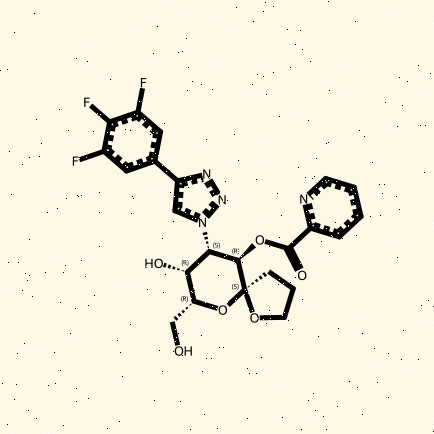 O=C(O[C@@H]1[C@@H](n2cc(-c3cc(F)c(F)c(F)c3)nn2)[C@@H](O)[C@@H](CO)O[C@@]12CCCO2)c1ccccn1